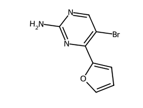 Nc1ncc(Br)c(-c2ccco2)n1